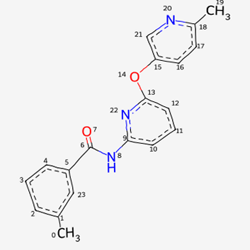 Cc1cccc(C(=O)Nc2cccc(Oc3ccc(C)nc3)n2)c1